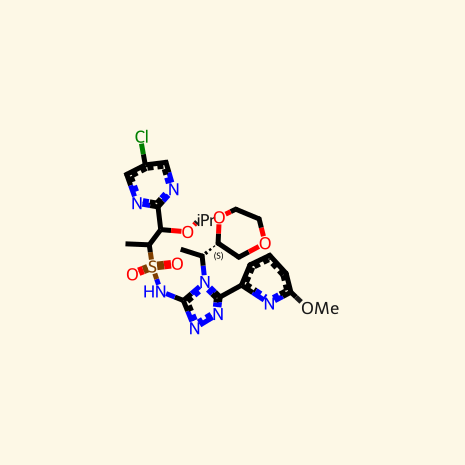 COc1cccc(-c2nnc(NS(=O)(=O)C(C)C(OC(C)C)c3ncc(Cl)cn3)n2C(C)[C@H]2COCCO2)n1